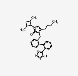 CCCCc1cn(C2C(C)CC2C)c(=O)n1Cc1cnccc1-c1ccccc1-c1nnn[nH]1